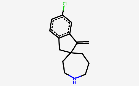 C=C1c2cc(Cl)ccc2CC12CCCNCC2